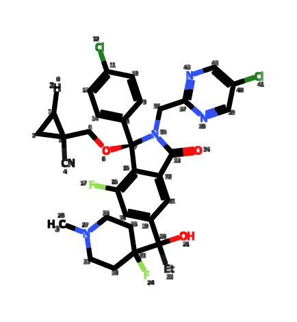 [2H]C1CC1(C#N)CO[C@]1(c2ccc(Cl)cc2)c2c(F)cc(C(O)(CC)C3(F)CCN(C)CC3)cc2C(=O)N1Cc1ncc(Cl)cn1